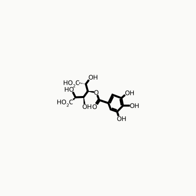 O=C(O[C@@H]([C@@H](O)[C@H](O)C(=O)O)[C@@H](O)C(=O)O)c1cc(O)c(O)c(O)c1